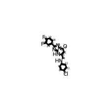 O=c1cc(CNc2ccc(Cl)cc2)[nH]c2nc(-c3ccc(F)c(F)c3)nn12